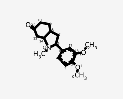 COc1ccc(C2CC3CCC(=O)CC3N2C)cc1OC